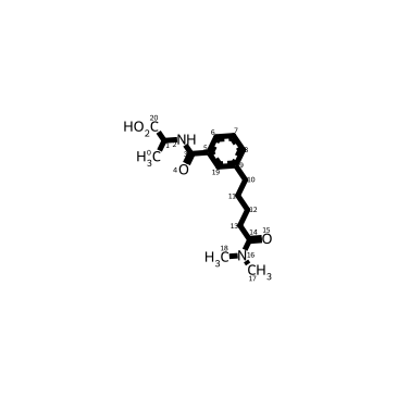 CC(NC(=O)c1cccc(CCCCC(=O)N(C)C)c1)C(=O)O